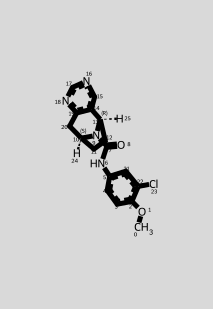 COc1ccc(NC(=O)N2[C@H]3CC[C@@H]2c2cncnc2C3)cc1Cl